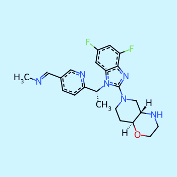 C/N=C/c1ccc([C@@H](C)n2c(N3CC[C@@H]4OCCN[C@H]4C3)nc3c(F)cc(F)cc32)nc1